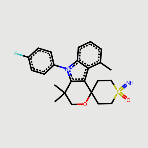 Cc1cccc2c1c1c(n2-c2ccc(F)cc2)C(C)(C)COC12CCS(=N)(=O)CC2